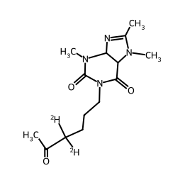 [2H]C([2H])(CCCN1C(=O)C2C(N=C(C)N2C)N(C)C1=O)C(C)=O